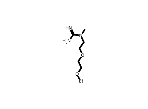 CCOCCOCCN(C)C(=N)N